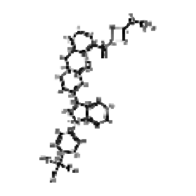 COC1CC(Nc2ccnc(Cn3ccc(-c4nn(-c5ccc(C(F)(F)F)cc5)c5ccccc45)cc3=O)n2)C1